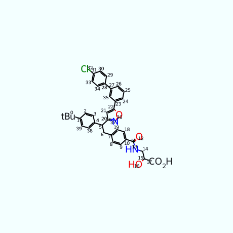 CC(C)(C)c1ccc(C(Cc2ccc(C(=O)NCC(O)C(=O)O)cc2)c2cc(-c3cccc(-c4ccc(Cl)cc4)c3)on2)cc1